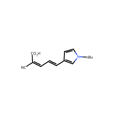 CCCCn1ccc(C=CC=C(C#N)C(=O)O)c1